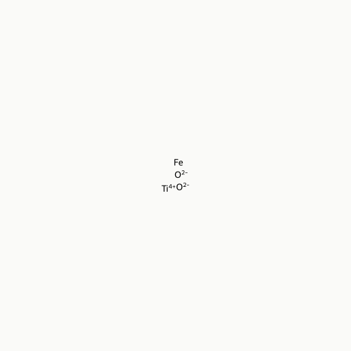 [Fe].[O-2].[O-2].[Ti+4]